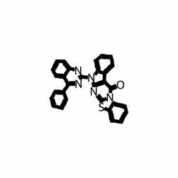 O=c1c2c3ccccc3n(-c3nc(-c4ccccc4)c4ccccc4n3)c2nc2sc3ccccc3n12